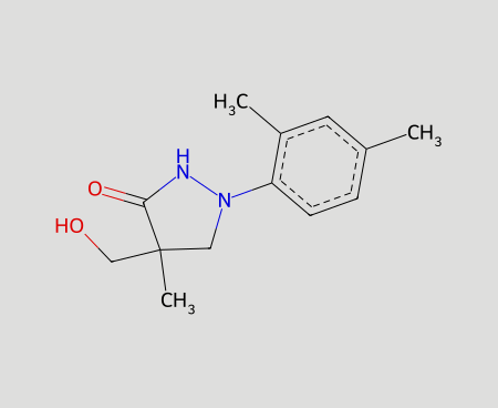 Cc1ccc(N2CC(C)(CO)C(=O)N2)c(C)c1